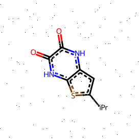 CC(C)c1cc2[nH]c(=O)c(=O)[nH]c2s1